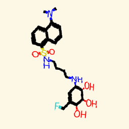 CN(C)c1cccc2c(S(=O)(=O)NCCCCN[C@@H]3C=C(CF)[C@H](O)[C@H](O)[C@H]3O)cccc12